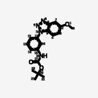 COc1ccc2c(c1)nnn2-c1cccc(NC(=O)OC(C)(C)C)c1